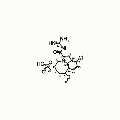 COC1CCCCn2c(C(=O)NC(=N)N)cc3c(Cl)ccc1c32.CS(=O)(=O)O